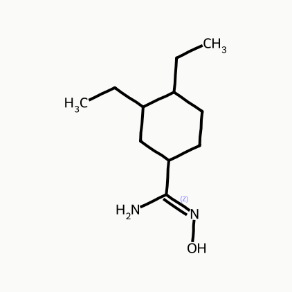 CCC1CCC(/C(N)=N/O)CC1CC